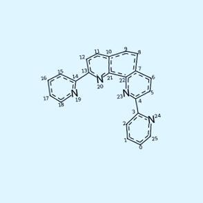 c1ccc(-c2ccc3ccc4ccc(-c5ccccn5)nc4c3n2)nc1